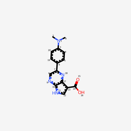 CN(C)c1ccc(-c2cnc3[nH]cc(C(=O)O)c3n2)cc1